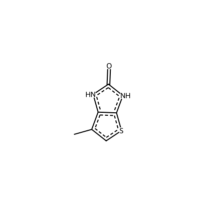 Cc1csc2[nH]c(=O)[nH]c12